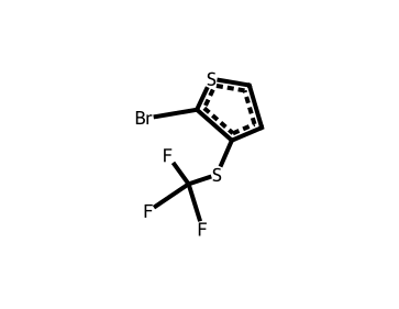 FC(F)(F)Sc1ccsc1Br